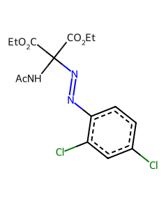 CCOC(=O)C(N=Nc1ccc(Cl)cc1Cl)(NC(C)=O)C(=O)OCC